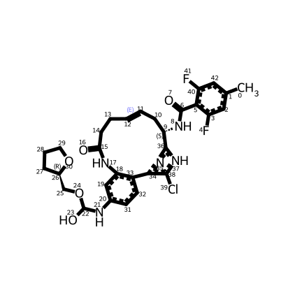 Cc1cc(F)c(C(=O)N[C@H]2C/C=C/CCC(=O)Nc3cc(NC(O)OC[C@H]4CCCO4)ccc3-c3nc2[nH]c3Cl)c(F)c1